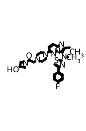 CCc1nc2ccc(N3CCN(CC(=O)N4CC(O)C4)CC3)nn2c1N(C)c1nc(-c2ccc(F)cc2)cs1